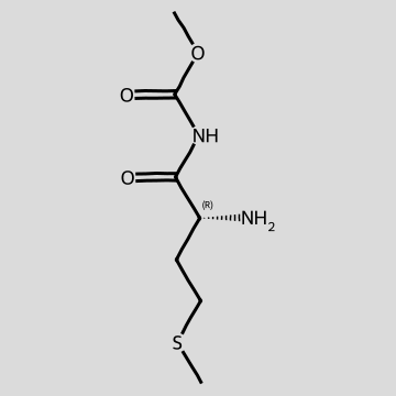 COC(=O)NC(=O)[C@H](N)CCSC